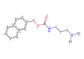 CCN(CC)CCCNC(=O)OCc1ccc2ccccc2c1